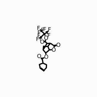 O=C(OC1C2CC3C1OC(=O)C3C2C(=O)OC(C(F)(F)F)(C(F)(F)F)C(F)(F)F)C1CC=CCC1